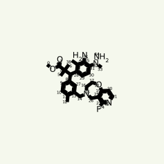 COC(=O)C(C)(C)C(c1ccc(C)c(CN2CCOc3ccnc(F)c3C2)c1)c1ccc(N(C)N)c(N)c1C